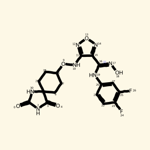 O=C1NC(=O)C2(CCC(ONc3nonc3/C(=N/O)Nc3ccc(F)c(F)c3)CC2)N1